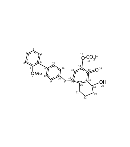 COc1ccccc1-c1ccc(Cn2cc(OC(=O)O)c(=O)c3c2CCCC3O)cc1